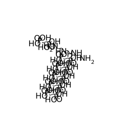 NCCNCCNCCN.O=P(O)(O)CCP(=O)(O)O.O=P(O)(O)CCP(=O)(O)O.O=P(O)(O)CCP(=O)(O)O.O=P(O)(O)CCP(=O)(O)O.O=P(O)(O)CCP(=O)(O)O.O=P(O)(O)CCP(=O)(O)O